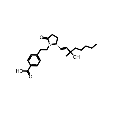 CCCCCC(C)(O)C=C[C@H]1CCC(=O)N1CCc1ccc(C(=O)O)cc1